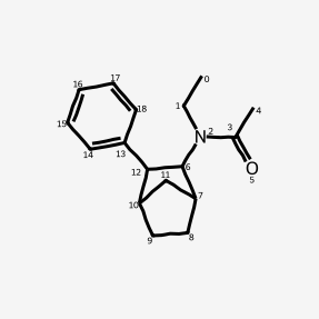 CCN(C(C)=O)C1C2CCC(C2)C1c1ccccc1